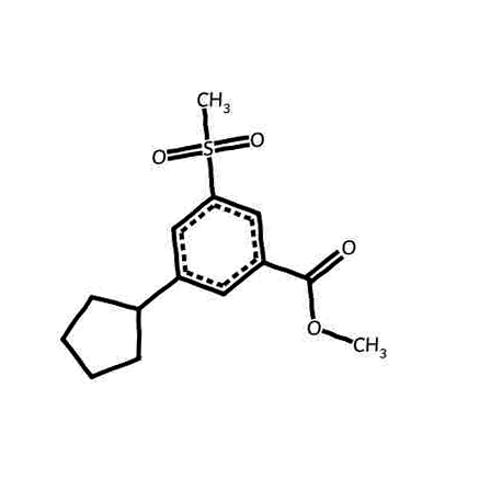 COC(=O)c1cc(C2CCCC2)cc(S(C)(=O)=O)c1